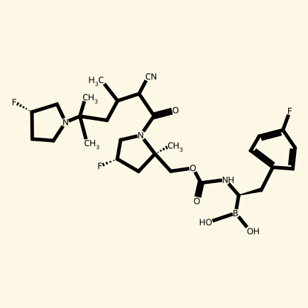 CC(CC(C)(C)N1CC[C@H](F)C1)C(C#N)C(=O)N1C[C@@H](F)C[C@]1(C)COC(=O)N[C@@H](Cc1ccc(F)cc1)B(O)O